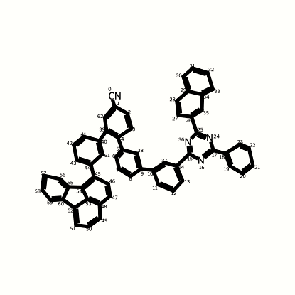 N#Cc1ccc(-c2cccc(-c3cccc(-c4nc(-c5ccccc5)nc(-c5ccc6ccccc6c5)n4)c3)c2)c(-c2cccc(-c3ccc4cccc5c4c3-c3ccccc3-5)c2)c1